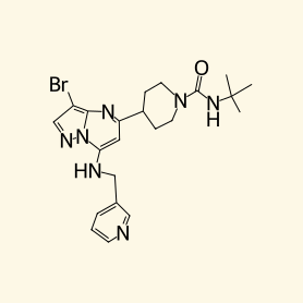 CC(C)(C)NC(=O)N1CCC(c2cc(NCc3cccnc3)n3ncc(Br)c3n2)CC1